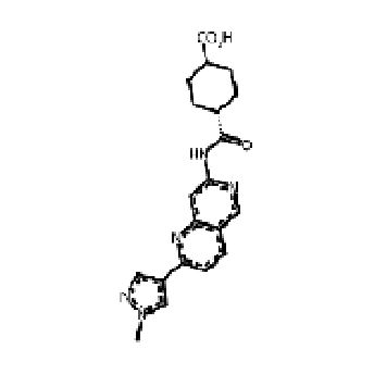 Cn1cc(-c2ccc3cnc(NC(=O)[C@H]4CC[C@H](C(=O)O)CC4)cc3n2)cn1